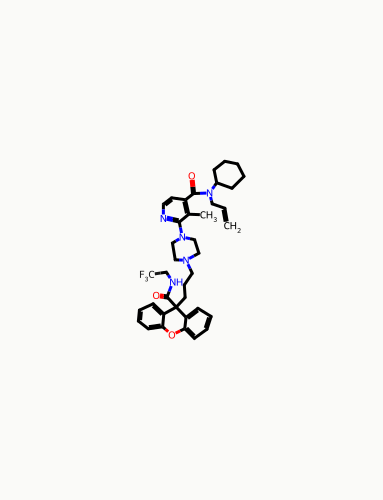 C=CCN(C(=O)c1ccnc(N2CCN(CCCC3(C(=O)NCC(F)(F)F)c4ccccc4Oc4ccccc43)CC2)c1C)C1CCCCC1